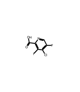 O=C(O)c1ncc(F)c(Cl)c1I